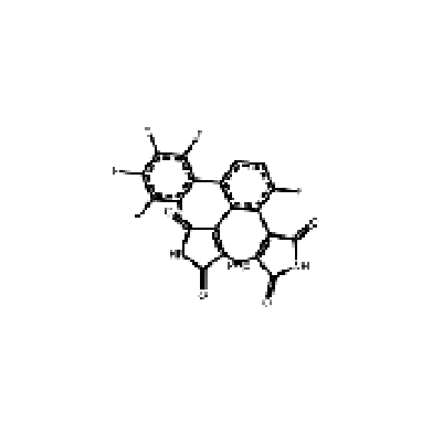 O=C1NC(=O)C(c2c(F)ccc(-c3c(F)c(F)c(F)c(F)c3F)c2C2=C(F)C(=O)NC2=O)=C1F